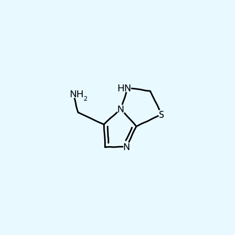 NCc1cnc2n1NCS2